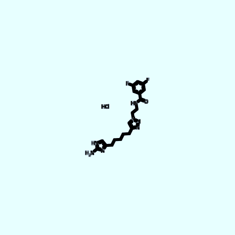 Cl.Nc1nc(CCCCCc2cn(CCNC(=O)c3cc(F)cc(F)c3)nn2)c[nH]1